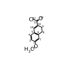 COc1ccc2c(c1)CCC(C(=O)Cl)=C2